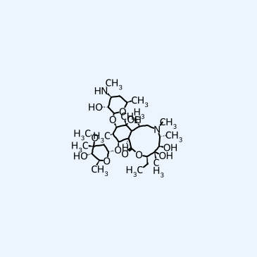 CC[C@H]1OC(=O)[C@@H]2C([C@@H](C)CN(C)[C@H](C)[C@@H](O)[C@]1(C)O)[C@@](C)(O)[C@H](O[C@@H]1O[C@H](C)C[C@H](NC)[C@H]1O)[C@@H](C)[C@@H]2O[C@H]1C[C@@](C)(OC)[C@@H](O)[C@H](C)O1